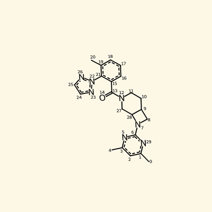 Cc1cc(C)nc(N2CC3CCN(C(=O)c4cccc(C)c4-n4nccn4)CC32)n1